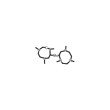 CN1CCN(C)C[CH]([Mo-2][CH]2CN(C)CCN(C)CCN2C)N(C)CC1